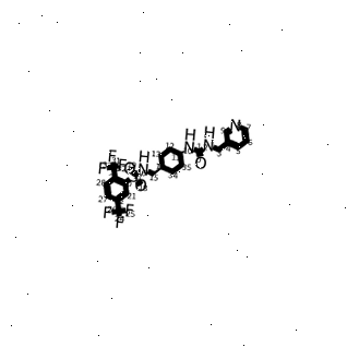 O=C(NCc1cccnc1)N[C@H]1CC[C@H](CNS(=O)(=O)c2cc(C(F)(F)F)ccc2C(F)(F)F)CC1